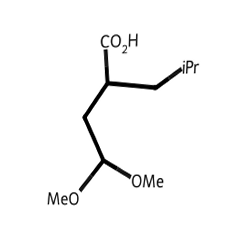 COC(CC(CC(C)C)C(=O)O)OC